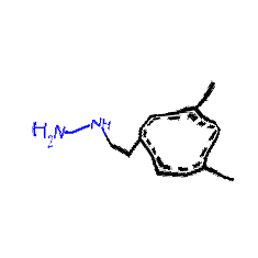 Cc1cc(C)cc(CNN)c1